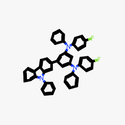 Fc1ccc(N(c2ccccc2)c2cc(-c3ccc4c5ccccc5n(-c5ccccc5)c4c3)cc(N(c3ccccc3)c3ccc(F)cc3)c2)cc1